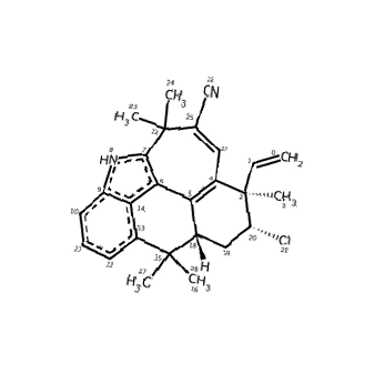 C=C[C@]1(C)C2=C3c4c([nH]c5cccc(c45)C(C)(C)[C@H]3C[C@H]1Cl)C(C)(C)C(C#N)=C2